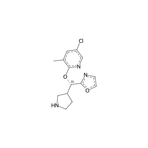 Cc1cc(Cl)cnc1O[C@H](c1ncco1)C1CCNC1